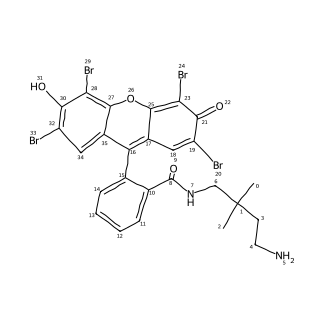 CC(C)(CCN)CNC(=O)c1ccccc1-c1c2cc(Br)c(=O)c(Br)c-2oc2c(Br)c(O)c(Br)cc12